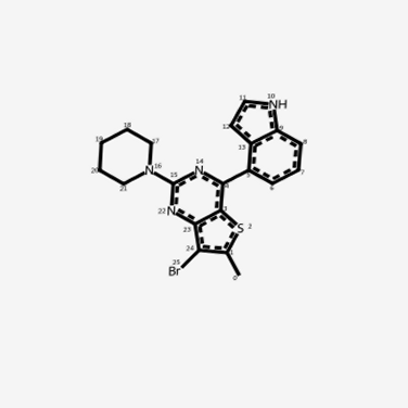 Cc1sc2c(-c3cccc4[nH]ccc34)nc(N3CCCCC3)nc2c1Br